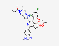 C=CC(=O)N1Cc2cc(-c3nc(-c4ccc5c(c4)ncn5C)c4ccsc4c3-c3c(F)cc(F)cc3OC[C@@H](C)O)nn2C[C@H]1C